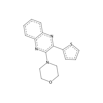 c1csc(-c2nc3ccccc3nc2N2CCOCC2)c1